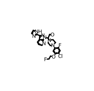 O=CC(N1CCN(c2cc(OCCF)c(Cl)cc2F)CC1)n1nc(-c2ncc[nH]2)c2cccnc21